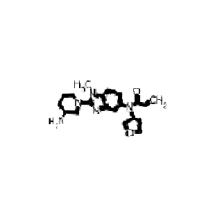 C=CC(=O)N(c1ccc2c(c1)nc(N1CCCC(N)C1)n2C)C1CCOC1